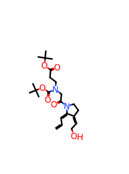 C=C/C=C1\C(=C/CO)CCN1C(=O)CN(CCC(=O)OC(C)(C)C)C(=O)OC(C)(C)C